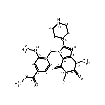 COC(=O)c1ccc(Cn2c(N3CCNCC3)nc3c2c(=O)n(C)c(=O)n3C)c(OC)c1